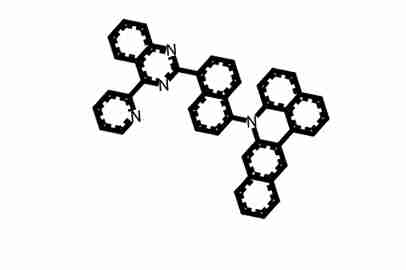 c1ccc(-c2nc(-c3cccc4c(N5c6cc7ccccc7cc6-c6cccc7cccc5c67)cccc34)nc3ccccc23)nc1